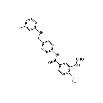 Cc1cccc(NSc2ccc(NC(=O)c3ccc(SC(C)C)c(NC=O)c3)cc2)c1